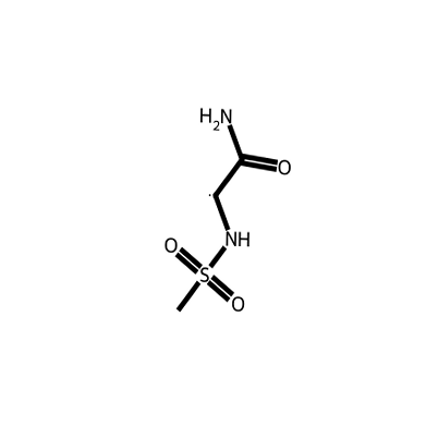 CS(=O)(=O)N[CH]C(N)=O